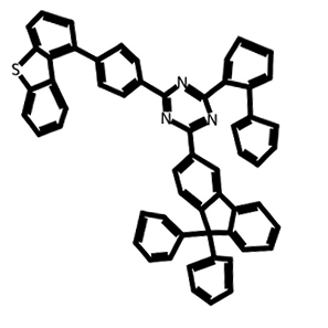 c1ccc(-c2ccccc2-c2nc(-c3ccc(-c4cccc5sc6ccccc6c45)cc3)nc(-c3ccc4c(c3)-c3ccccc3C4(c3ccccc3)c3ccccc3)n2)cc1